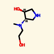 CN(CCO)[C@H]1CNC[C@@H]1O